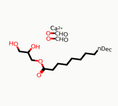 CCCCCCCCCCCCCCCCCC(=O)OCC(O)CO.O=C[O-].O=C[O-].[Ca+2]